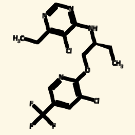 CCc1ncnc(N[C@@H](CC)COc2ncc(C(F)(F)F)cc2Cl)c1Cl